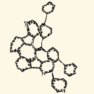 c1ccc(-c2ccc(C(c3ccc(-c4ccccc4)cc3)=c3n4c5nccnc5c5cccc(c6cccc7c8nc(-c9ccncc9)cnc8n3c67)c54)cc2)cc1